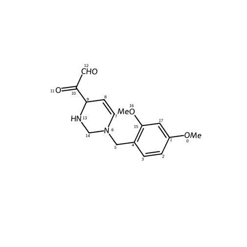 COc1ccc(CN2C=CC(C(=O)C=O)NC2)c(OC)c1